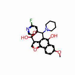 COc1ccc2c(c1)c(O)c(C(c1ccnc(F)c1)N1CCCCC1)c1c(C(=O)O)coc12